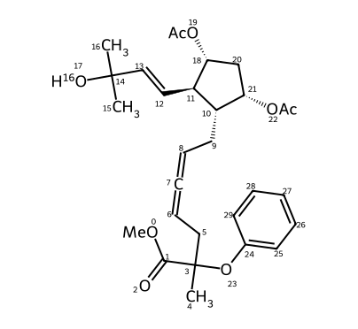 COC(=O)C(C)(CC=C=CC[C@@H]1[C@@H](C=CC(C)(C)[16OH])[C@H](OC(C)=O)C[C@@H]1OC(C)=O)Oc1ccccc1